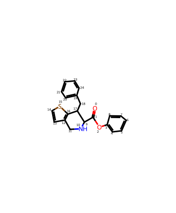 O=C(Oc1ccccc1)C1NCc2ccsc2C1Cc1ccccc1